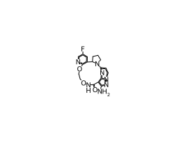 Nc1nn2ccc3nc2c1C(=O)NOCCOc1ncc(F)cc1C1CCCN31